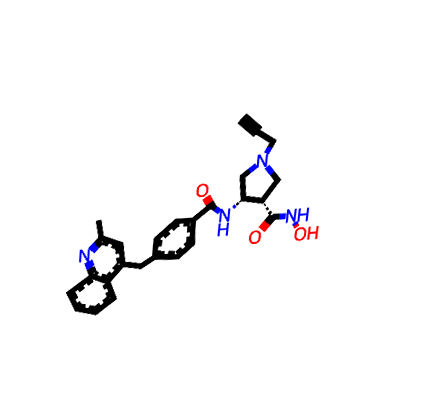 C#CCN1C[C@H](C(=O)NO)[C@H](NC(=O)c2ccc(Cc3cc(C)nc4ccccc34)cc2)C1